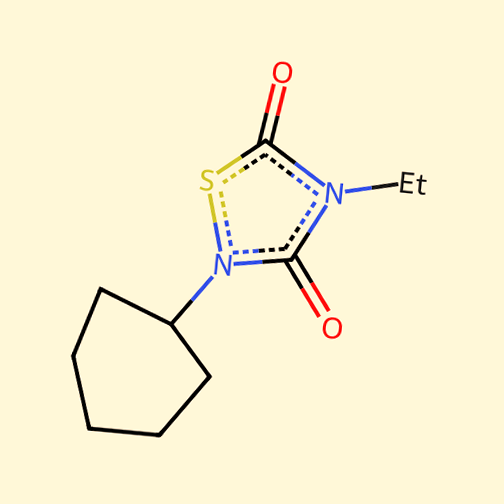 CCn1c(=O)sn(C2CCCCC2)c1=O